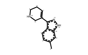 Cc1ccc2c(C3=CCCNC3)n[nH]c2c1